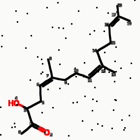 CC(=O)C(O)C/C=C(/C)CCC=C(C)CCC=C(C)C